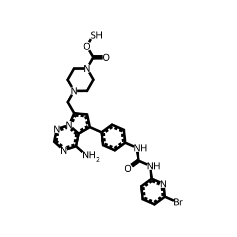 Nc1ncnn2c(CN3CCN(C(=O)OS)CC3)cc(-c3ccc(NC(=O)Nc4cccc(Br)n4)cc3)c12